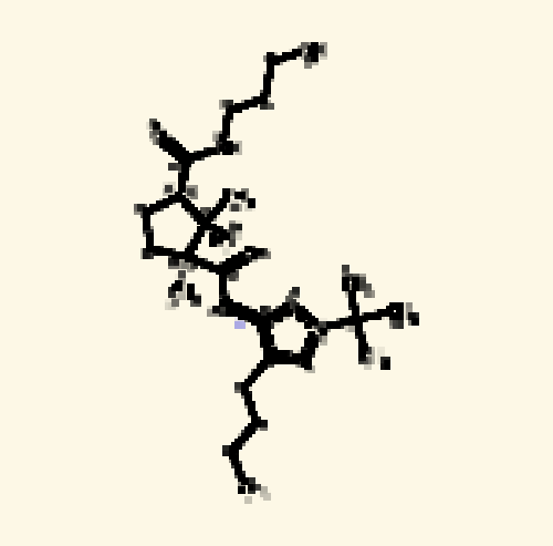 CCCCc1cn(C(C)(C)C)s/c1=N\C(=O)[C@@]1(C)CC[C@@H](C(=O)NCCCO)C1(C)C